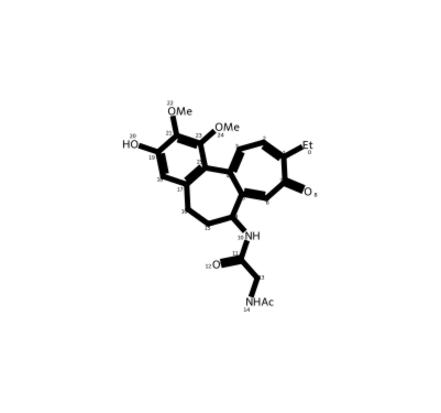 CCc1ccc2c(cc1=O)C(NC(=O)CNC(C)=O)CCc1cc(O)c(OC)c(OC)c1-2